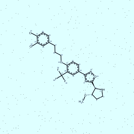 CO[C@H]1CCN[C@@H]1c1nc(-c2ccc(OCCCc3ccc(Cl)c(Cl)c3)c(C(F)(F)F)c2)no1